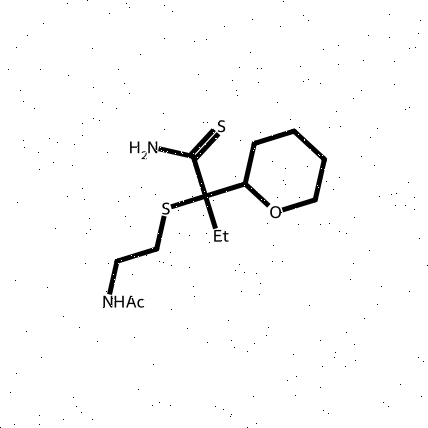 CCC(SCCNC(C)=O)(C(N)=S)C1CCCCO1